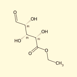 CCOC(=O)[C@@H](O)[C@H](O)[C@@H](O)C=O